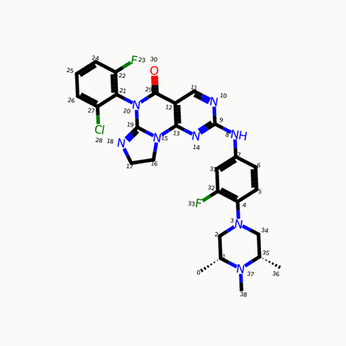 C[C@@H]1CN(c2ccc(Nc3ncc4c(n3)N3CCN=C3N(c3c(F)cccc3Cl)C4=O)cc2F)C[C@H](C)N1C